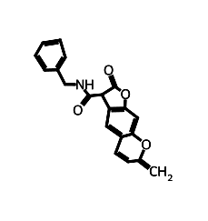 C=C1C=Cc2cc3c(cc2O1)OC(=O)C3C(=O)NCc1ccccc1